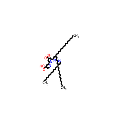 CCCCCCCCCCCCCCCCc1cc(-c2cc(C(CCCCCCCCCCCC)CCCCCCCCCCCC)ccn2)nc(-c2cc(C(=O)O)cc(-c3cc(C(=O)O)ccn3)n2)c1